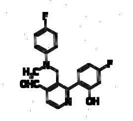 CN(Cc1c(C=O)ccnc1-c1ccc(F)cc1O)c1ccc(F)cc1